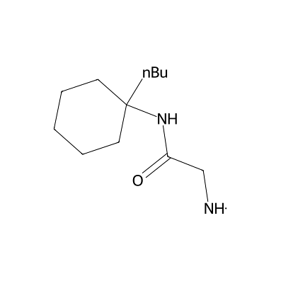 CCCCC1(NC(=O)C[NH])CCCCC1